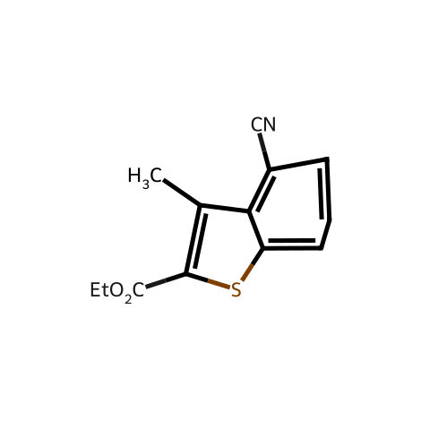 CCOC(=O)c1sc2cccc(C#N)c2c1C